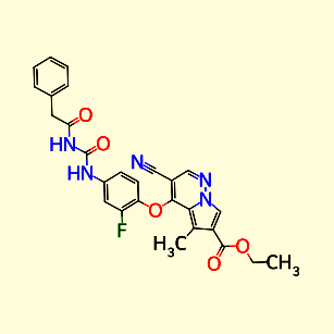 CCOC(=O)c1cn2ncc(C#N)c(Oc3ccc(NC(=O)NC(=O)Cc4ccccc4)cc3F)c2c1C